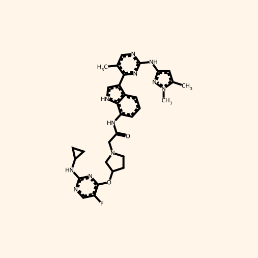 Cc1cnc(Nc2cc(C)n(C)n2)nc1-c1c[nH]c2c(NC(=O)CN3CCC(Oc4nc(NC5CC5)ncc4F)C3)cccc12